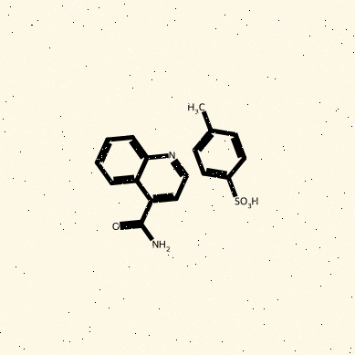 Cc1ccc(S(=O)(=O)O)cc1.NC(=O)c1ccnc2ccccc12